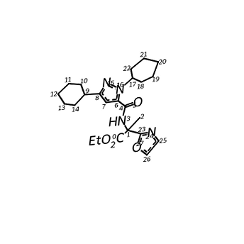 CCOC(=O)C(C)(NC(=O)c1cc(C2CCCCC2)nn1C1CCCCC1)c1ncco1